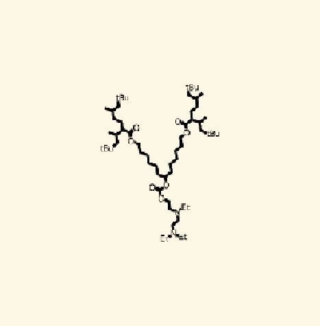 CCN(CC)CCN(CC)CCOC(=O)OC(CCCCCCOC(=O)C(CCC(C)CC(C)(C)C)C(C)CC(C)(C)C)CCCCCCOC(=O)C(CCC(C)CC(C)(C)C)C(C)CC(C)(C)C